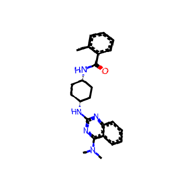 Cc1ccccc1C(=O)N[C@H]1CC[C@@H](Nc2nc(N(C)C)c3ccccc3n2)CC1